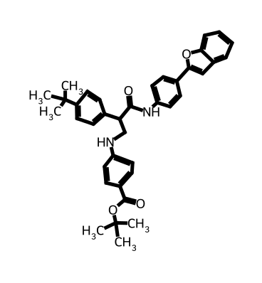 CC(C)(C)OC(=O)c1ccc(NCC(C(=O)Nc2ccc(-c3cc4ccccc4o3)cc2)c2ccc(C(C)(C)C)cc2)cc1